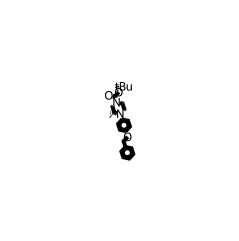 C[C@@H]1CN(C(=O)OC(C)(C)C)CCN1c1ccc(OCc2ccccc2)cc1